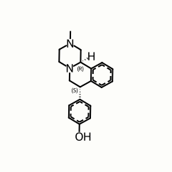 CN1CCN2C[C@@H](c3ccc(O)cc3)c3ccccc3[C@@H]2C1